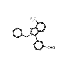 O=Cc1cccc(-c2c3cccc(C(F)(F)F)c3nn2Cc2ccccc2)c1